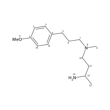 COc1ccc(CCCN(C)CCC(C)N)cc1